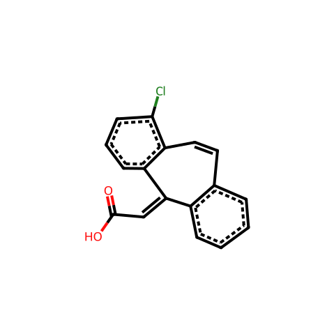 O=C(O)C=C1c2ccccc2C=Cc2c(Cl)cccc21